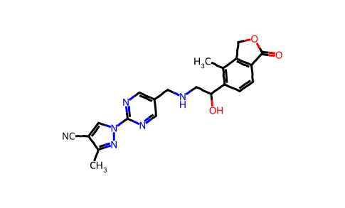 Cc1nn(-c2ncc(CNCC(O)c3ccc4c(c3C)COC4=O)cn2)cc1C#N